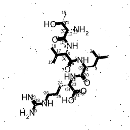 CC(C)C[C@H](NC(=O)[C@@H](NC(=O)[C@@H](N)[C@@H](C)O)C(C)C)C(=O)N[C@@H](CCCNC(=N)N)C(=O)O